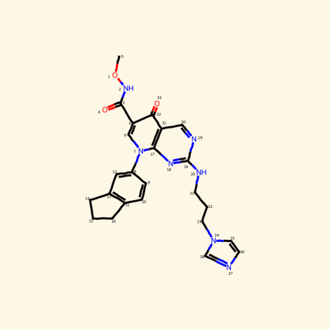 CONC(=O)c1cn(-c2ccc3c(c2)CCC3)c2nc(NCCCn3ccnc3)ncc2c1=O